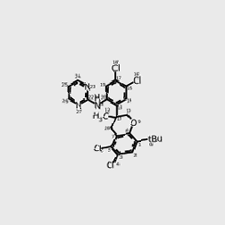 CC(C)(C)c1cc(Cl)c(Cl)c2c1OCC(C)(c1cc(Cl)c(Cl)cc1Nc1ncccn1)C2